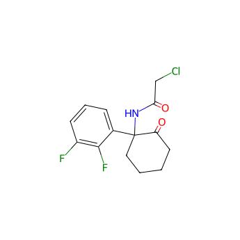 O=C(CCl)NC1(c2cccc(F)c2F)CCCCC1=O